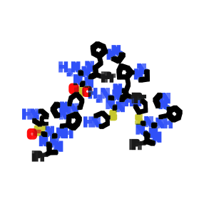 CC(C)c1c(Cc2ccccc2-n2cccn2)nn2c(N)nc(S(=O)(=O)C3CCNCC3)nc12.CC(C)c1c(Cc2ccccc2-n2cccn2)nn2c(N)nc(SC3CCNCC3)nc12.CC(C)c1cnn2c(NCc3ccccc3-n3cccn3)nc(S[C@@H]3CCCNC3)nc12.CC(C)c1cnn2c(NCc3ccccc3-n3cccn3)nc([S@+]([O-])[C@@H]3CCCNC3)nc12